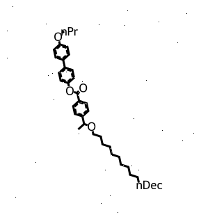 CCCCCCCCCCCCCCCCCCCCOC(C)c1ccc(C(=O)Oc2ccc(-c3ccc(OCCC)cc3)cc2)cc1